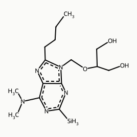 CCCCc1nc2c(N(C)C)nc([SiH3])nc2n1COC(CO)CO